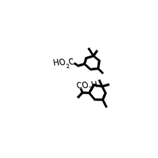 CC1CC(C(C)C(=O)O)CC(C)(C)C1.CC1CC(CC(=O)O)CC(C)(C)C1